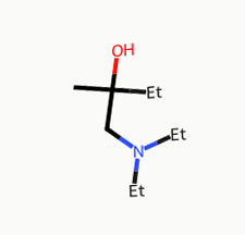 CCN(CC)CC(C)(O)CC